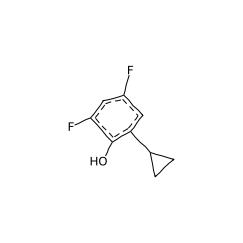 Oc1c(F)cc(F)cc1C1CC1